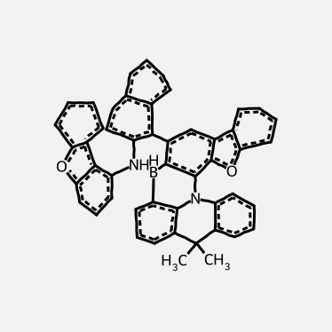 CC1(C)c2ccccc2N2c3c(cccc31)Bc1c(-c3c(Nc4cccc5oc6ccccc6c45)ccc4ccccc34)cc3c(oc4ccccc43)c12